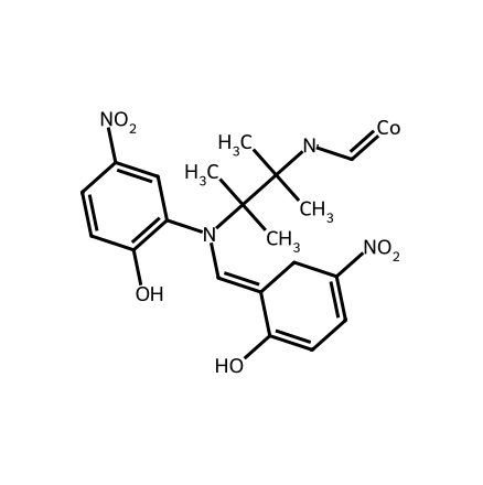 CC(C)([N][CH]=[Co])C(C)(C)N(C=C1CC([N+](=O)[O-])=CC=C1O)c1cc([N+](=O)[O-])ccc1O